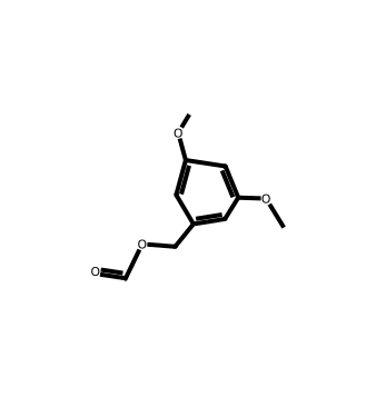 COc1cc(CO[C]=O)cc(OC)c1